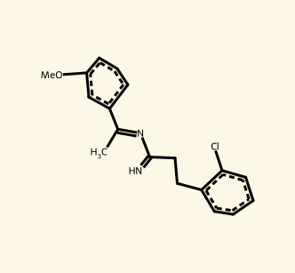 COc1cccc(C(C)=NC(=N)CCc2ccccc2Cl)c1